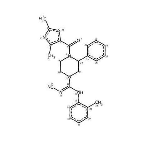 Cc1nc(C)c(C(=O)N2CCN(/C(=N\C#N)Nc3ccccc3C)CC2c2ccccc2)s1